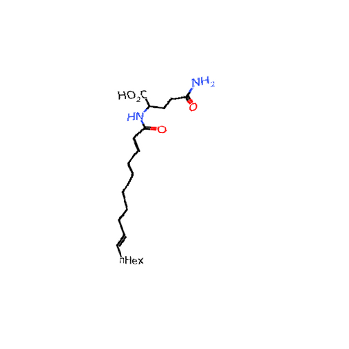 CCCCCCC=CCCCCCCCC(=O)NC(CCC(N)=O)C(=O)O